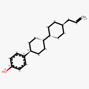 C=CC[C@H]1CC[C@H]([C@H]2CC[C@H](c3ccc(O)cc3)CC2)CC1